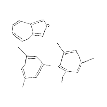 Cc1cc(C)cc(C)c1.Cc1cc(C)cc(C)c1.c1ccc2cocc2c1